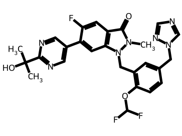 Cn1c(=O)c2cc(F)c(-c3cnc(C(C)(C)O)nc3)cc2n1Cc1cc(Cn2cncn2)ccc1OC(F)F